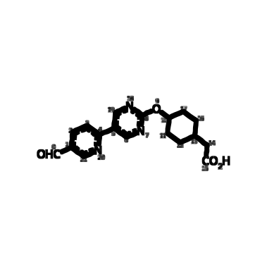 O=Cc1ccc(-c2cnc(OC3CCC(CC(=O)O)CC3)nc2)nc1